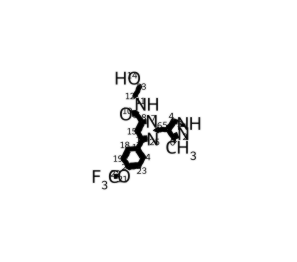 Cc1n[nH]cc1-c1nc(C(=O)NCCO)cc(-c2ccc(OC(F)(F)F)cc2)n1